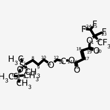 C[Si](C)(C)O[Si](C)(C)CCCOCCOC(=O)C=CC(=O)OC(F)(C(F)F)C(F)(F)F